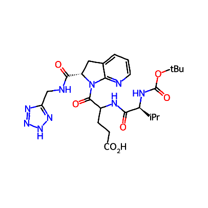 CC(C)[C@H](NC(=O)OC(C)(C)C)C(=O)NC(CCC(=O)O)C(=O)N1c2ncccc2C[C@H]1C(=O)NCc1nn[nH]n1